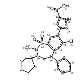 CN1[C@H](C2CCCCC2)CN(c2ccccc2)c2cc(Cl)c(-c3cc(C(=O)O)[nH]n3)cc2S1(=O)=O